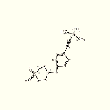 C[Si](C)(C)C#Cc1ccc(CN2CCS(=O)(=O)CC2)cc1